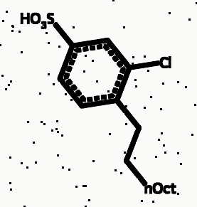 CCCCCCCCCCc1ccc(S(=O)(=O)O)cc1Cl